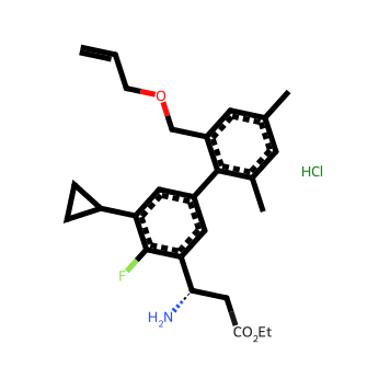 C=CCOCc1cc(C)cc(C)c1-c1cc(C2CC2)c(F)c([C@@H](N)CC(=O)OCC)c1.Cl